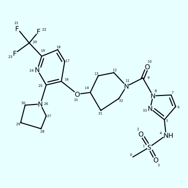 CS(=O)(=O)Nc1ccn(C(=O)N2CCC(Oc3ccc(C(F)(F)F)nc3N3CCCC3)CC2)n1